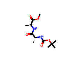 COC(=O)[C@H](C)NC(=O)[C@@H](C)NC(=O)OC(C)(C)C